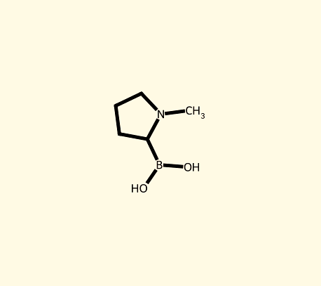 CN1CCCC1B(O)O